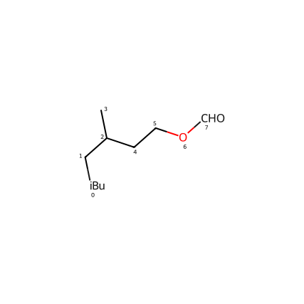 CCC(C)CC(C)CCOC=O